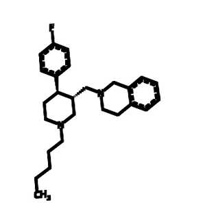 CCCCCN1CC[C@@H](c2ccc(F)cc2)[C@H](CN2CCc3ccccc3C2)C1